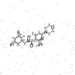 Cc1cc(N2CCOCC2)nc(C(C)C)c1C(=O)NCc1cc(F)cc(F)c1